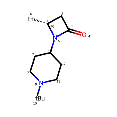 CC[C@@H]1CC(=O)N1C1CCN(C(C)(C)C)CC1